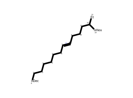 [CH2]CCCCCCCCCCCCCCC/C=C/CCCC(CC)CCCCC[CH2]